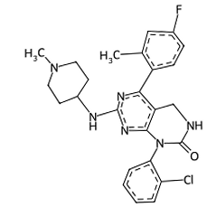 Cc1cc(F)ccc1-c1nc(NC2CCN(C)CC2)nc2c1CNC(=O)N2c1ccccc1Cl